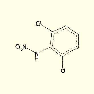 O=[N+]([O-])Nc1c(Cl)cccc1Cl